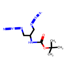 CC(C)(C)OC(=O)NC(CN=[N+]=[N-])CN=[N+]=[N-]